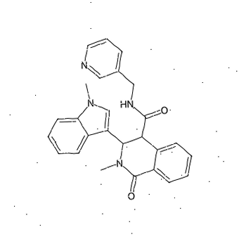 CN1C(=O)c2ccccc2C(C(=O)NCc2cccnc2)C1c1cn(C)c2ccccc12